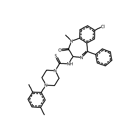 Cc1ccc(C)c(N2CCN(C(=S)NC3N=C(c4ccccc4)c4cc(Cl)ccc4N(C)C3=O)CC2)c1